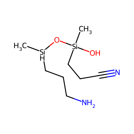 C[SiH](CCCN)O[Si](C)(O)CCC#N